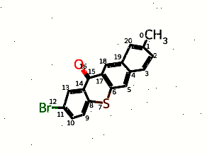 Cc1ccc2cc3sc4ccc(Br)cc4c(=O)c3cc2c1